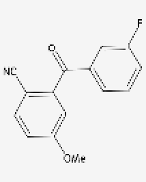 COc1ccc(C#N)c(C(=O)c2cccc(F)c2)c1